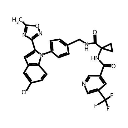 Cc1nc(-c2cc3cc(Cl)ccc3n2-c2ccc(CNC(=O)C3(NC(=O)c4cncc(C(F)(F)F)c4)CC3)cc2)no1